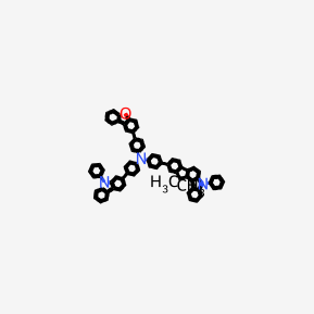 CC1(C)c2cc(-c3ccc(N(c4ccc(-c5ccc6oc7ccccc7c6c5)cc4)c4ccc(-c5ccc6c7ccccc7n(-c7ccccc7)c6c5)cc4)cc3)ccc2-c2ccc3c(c21)c1ccccc1n3-c1ccccc1